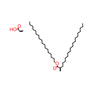 C=C(CCCCCCCCCCCCCCCCCC)C(=O)OCCCCCCCCCCCCCCCCCC.C=CC(=O)O